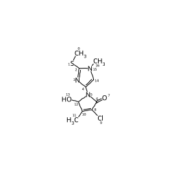 CSc1nc(N2C(=O)C(Cl)=C(C)C2O)cn1C